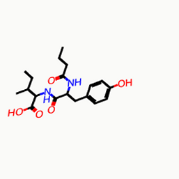 CCCC(=O)NC(Cc1ccc(O)cc1)C(=O)NC(C(=O)O)C(C)CC